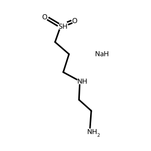 NCCNCCC[SH](=O)=O.[NaH]